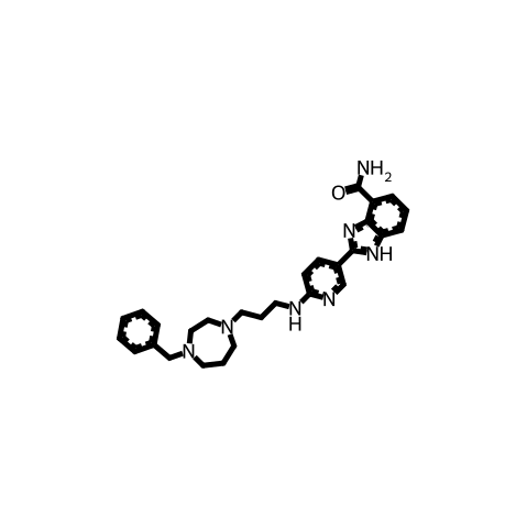 NC(=O)c1cccc2[nH]c(-c3ccc(NCCCN4CCCN(Cc5ccccc5)CC4)nc3)nc12